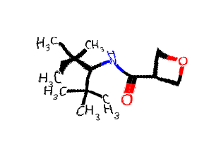 CC(C)(C)C(NC(=O)C1COC1)C(C)(C)C